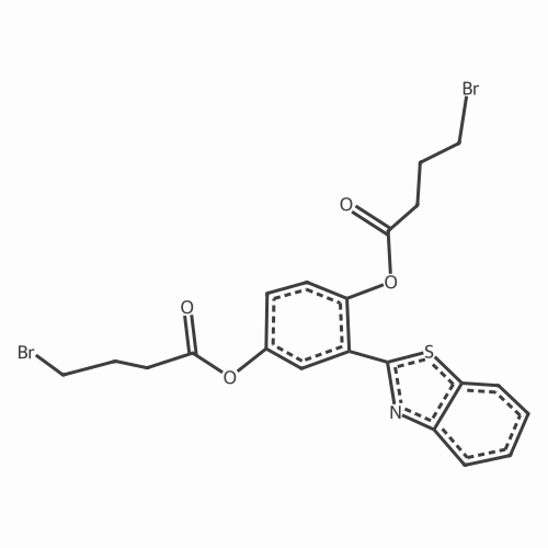 O=C(CCCBr)Oc1ccc(OC(=O)CCCBr)c(-c2nc3ccccc3s2)c1